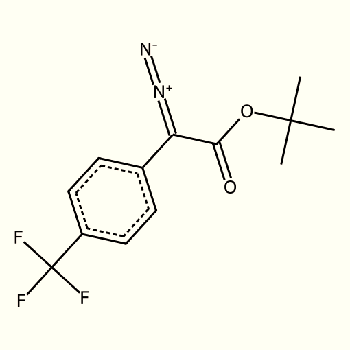 CC(C)(C)OC(=O)C(=[N+]=[N-])c1ccc(C(F)(F)F)cc1